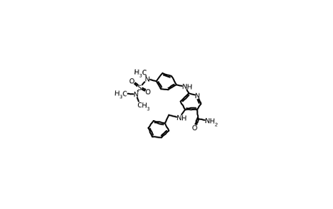 CN(C)S(=O)(=O)N(C)c1ccc(Nc2cc(NCc3ccccc3)c(C(N)=O)cn2)cc1